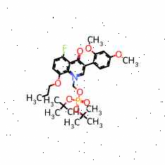 CCCOc1ccc(F)c2c(=O)c(-c3ccc(OC)cc3OC)cn(COP(=O)(OC(C)(C)C)OC(C)(C)C)c12